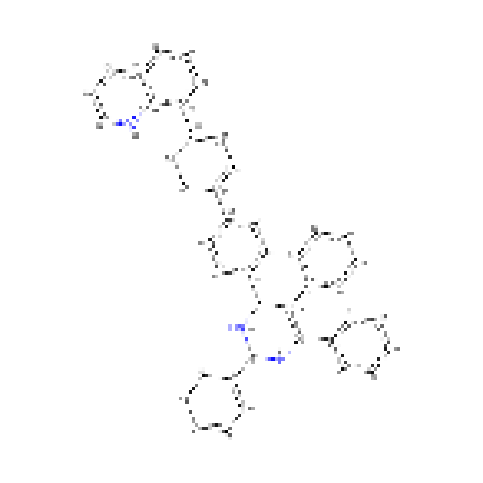 C1=CCCC(C2NC(c3ccccc3)=C(c3ccccc3)C(c3ccc(C4=CC=C(c5cccc6cccnc56)CC4)cc3)N2)=C1